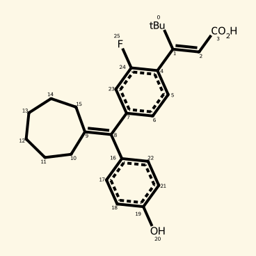 CC(C)(C)/C(=C\C(=O)O)c1ccc(C(=C2CCCCCC2)c2ccc(O)cc2)cc1F